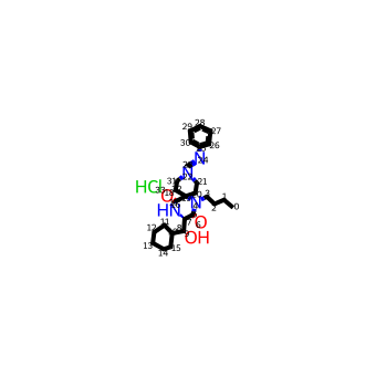 CCCCN1C(=O)[C@@H]([C@H](O)C2CCCCC2)NC(=O)C12CCN(/C=N/c1ccccc1)CC2.Cl